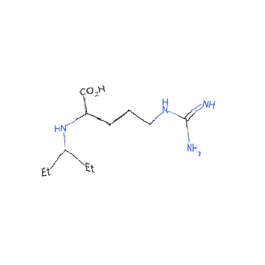 CCC(CC)NC(CCCNC(=N)N)C(=O)O